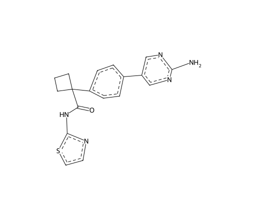 Nc1ncc(-c2ccc(C3(C(=O)Nc4nccs4)CCC3)cc2)cn1